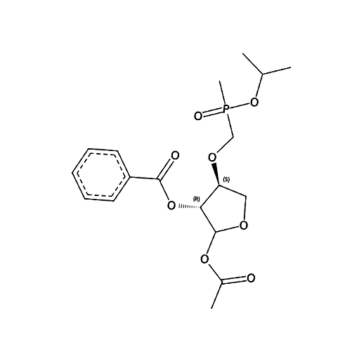 CC(=O)OC1OC[C@H](OCP(C)(=O)OC(C)C)[C@H]1OC(=O)c1ccccc1